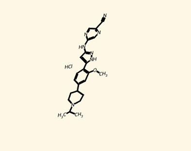 COc1cc(C2CCN(C(C)C)CC2)ccc1-c1cc(Nc2cnc(C#N)cn2)n[nH]1.Cl